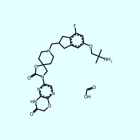 CC(C)(N)COc1cc(F)c2c(c1)CC(CN1CCC3(CC1)CN(c1cnc4c(n1)NC(=O)CO4)C(=O)O3)C2.O=CO